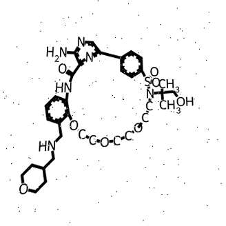 CC(C)(CO)N1CCOCCOCCOc2c(CNCC3CCOCC3)cccc2NC(=O)c2nc(cnc2N)-c2ccc(cc2)S1(=O)=O